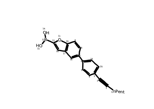 CCCCCC#Cc1ccc(-c2ccc3oc(B(O)O)cc3c2)cc1